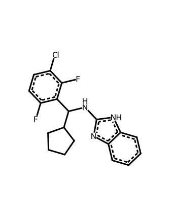 Fc1ccc(Cl)c(F)c1C(Nc1nc2ccccc2[nH]1)C1CCCC1